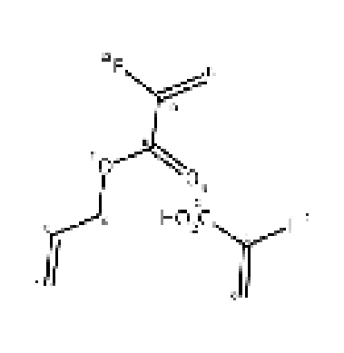 C=C(F)C(=O)O.C=CCOC(=O)C(=C)F